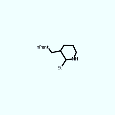 CCCCCCC1CCCNC1CC